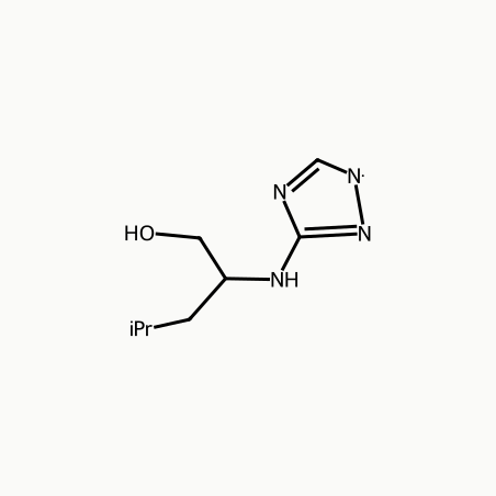 CC(C)CC(CO)NC1=N[N]C=N1